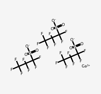 O=S(=O)([O-])C(F)(F)C(F)(F)C(F)(F)F.O=S(=O)([O-])C(F)(F)C(F)(F)C(F)(F)F.O=S(=O)([O-])C(F)(F)C(F)(F)C(F)(F)F.[Ga+3]